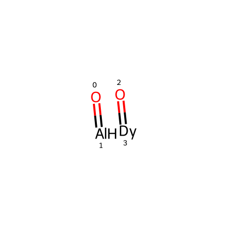 [O]=[AlH].[O]=[Dy]